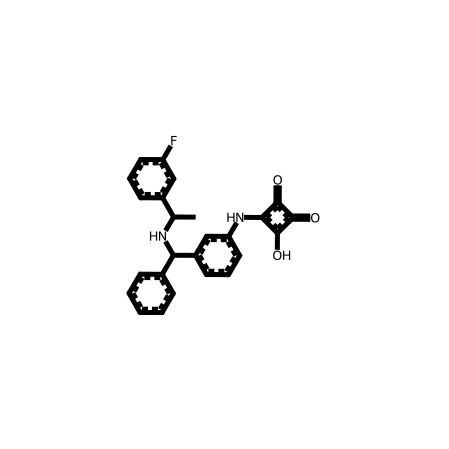 CC(NC(c1ccccc1)c1cccc(Nc2c(O)c(=O)c2=O)c1)c1cccc(F)c1